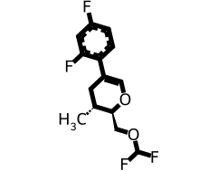 C[C@@H]1CC(c2ccc(F)cc2F)=CO[C@H]1COC(F)F